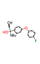 C#CC(O)(CCCC)c1ccc(Oc2ccc(F)cc2)cc1